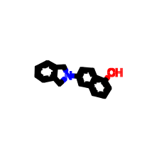 Oc1cccc2cc(N3Cc4ccccc4C3)ccc12